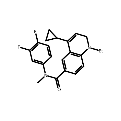 CCN1CC=C(C2CC2)c2cc(C(=O)N(C)c3ccc(F)c(F)c3)ccc21